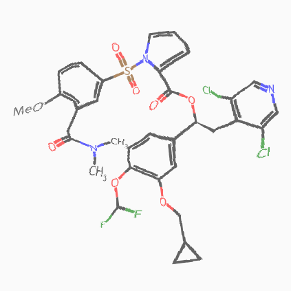 COc1ccc(S(=O)(=O)n2cccc2C(=O)O[C@@H](Cc2c(Cl)cncc2Cl)c2ccc(OC(F)F)c(OCC3CC3)c2)cc1C(=O)N(C)C